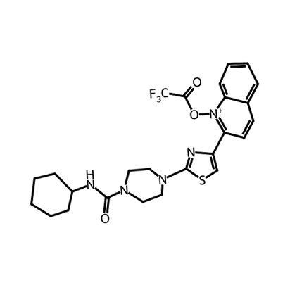 O=C(NC1CCCCC1)N1CCN(c2nc(-c3ccc4ccccc4[n+]3OC(=O)C(F)(F)F)cs2)CC1